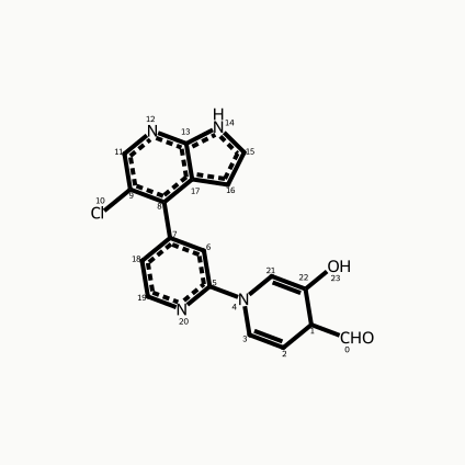 O=CC1C=CN(c2cc(-c3c(Cl)cnc4[nH]ccc34)ccn2)C=C1O